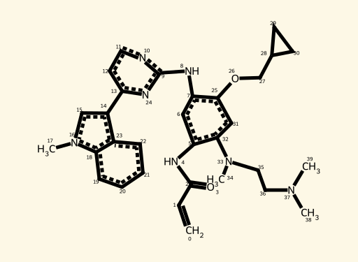 C=CC(=O)Nc1cc(Nc2nccc(-c3cn(C)c4ccccc34)n2)c(OCC2CC2)cc1N(C)CCN(C)C